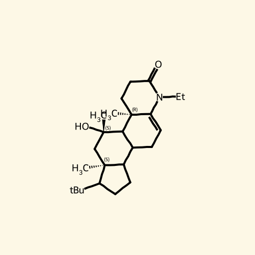 CCN1C(=O)CC[C@@]2(C)C1=CCC1C3CCC(C(C)(C)C)[C@@]3(C)C[C@](C)(O)C12